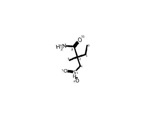 CCC(C)(C[SH](=O)=O)C(N)=O